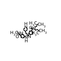 CNC(=O)c1ccc(Nc2nc3ccc(C(=O)N(CCC(C)C)CCC(C)C)cc3n2CC2CCNCC2)cc1